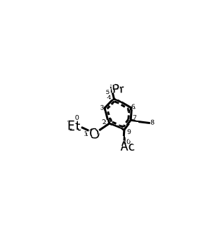 CCOc1cc(C(C)C)cc(C)c1C(C)=O